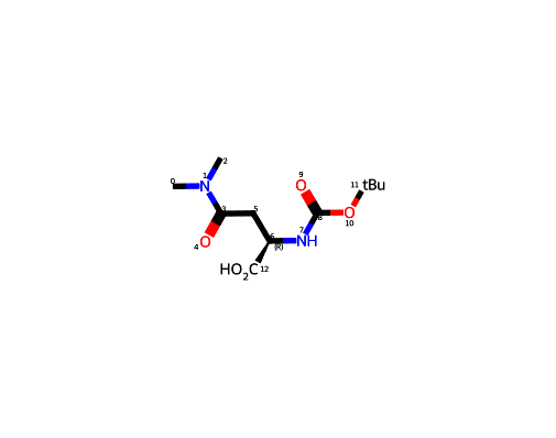 CN(C)C(=O)C[C@@H](NC(=O)OC(C)(C)C)C(=O)O